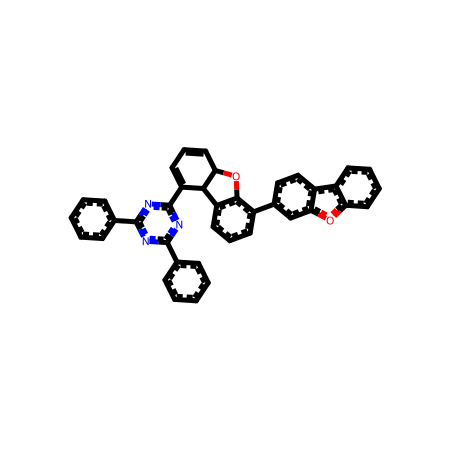 C1=CC2Oc3c(-c4ccc5c(c4)oc4ccccc45)cccc3C2C(c2nc(-c3ccccc3)nc(-c3ccccc3)n2)=C1